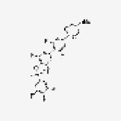 CCCCC1COC(c2cc(F)c(-c3cc(F)c(OC(F)(F)c4cc(F)c(F)c(F)c4)c(F)c3)c(F)c2)OC1